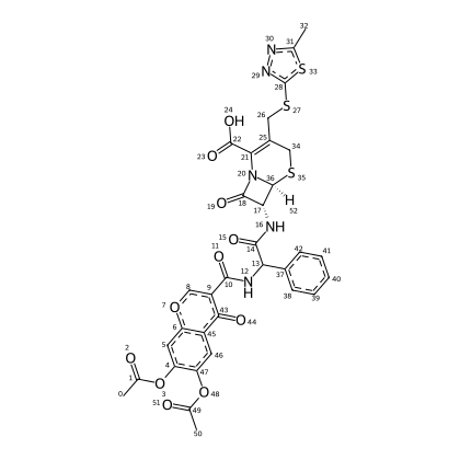 CC(=O)Oc1cc2occ(C(=O)NC(C(=O)N[C@@H]3C(=O)N4C(C(=O)O)=C(CSc5nnc(C)s5)CS[C@@H]34)c3ccccc3)c(=O)c2cc1OC(C)=O